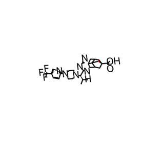 CC(C)[C@H](/C(=N/C#N)NC1C2CC3CC1CC(C(=O)O)(C3)C2)N1CCN(c2ccc(C(F)(F)F)cn2)CC1